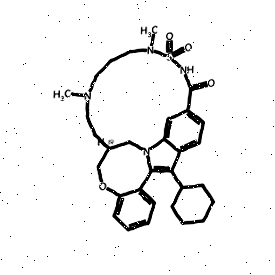 CN1CCCN(C)S(=O)(=O)NC(=O)c2ccc3c(C4CCCCC4)c4n(c3c2)C[C@H](CC1)COc1ccccc1-4